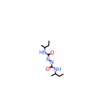 CCC(C)NC(=O)N=NC(=O)NC(C)CC